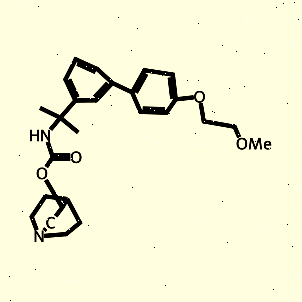 COCCOc1ccc(-c2cccc(C(C)(C)NC(=O)OC3CN4CCC3CC4)c2)cc1